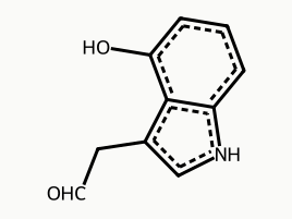 O=CCc1c[nH]c2cccc(O)c12